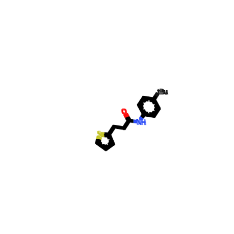 CC(C)(C)c1ccc(NC(=O)CCc2cccs2)cc1